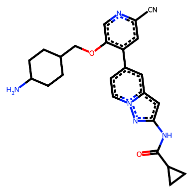 N#Cc1cc(-c2ccn3nc(NC(=O)C4CC4)cc3c2)c(OCC2CCC(N)CC2)cn1